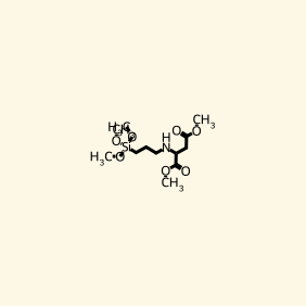 COC(=O)CC(NCCC[Si](OC)(OC)OC)C(=O)OC